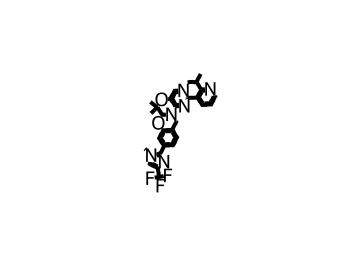 CC(C)c1ncccc1-c1ncc2c(n1)N(Cc1ccc(-c3nc(C(F)(F)F)cn3C)cc1)C(=O)C(C)(C)O2